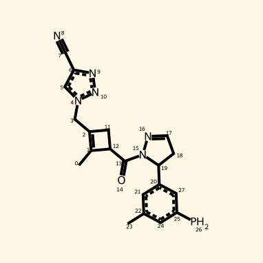 CC1=C(Cn2cc(C#N)nn2)CC1C(=O)N1N=CCC1c1cc(C)cc(P)c1